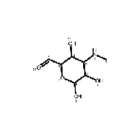 CNC1C(O)C(O)OC(C=O)C1O